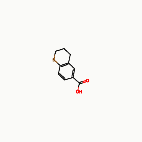 O=C(O)c1ccc2c(c1)CCCS2